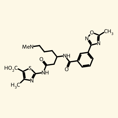 CNCCCC(CC(=O)Nc1nc(C)c(C(=O)O)s1)NC(=O)c1cccc(-c2noc(C)n2)c1